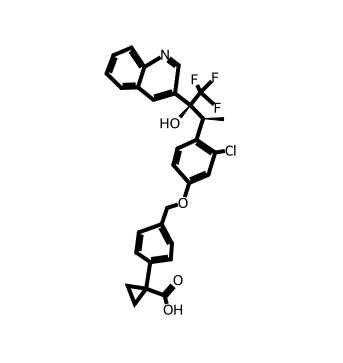 C[C@@H](c1ccc(OCc2ccc(C3(C(=O)O)CC3)cc2)cc1Cl)[C@](O)(c1cnc2ccccc2c1)C(F)(F)F